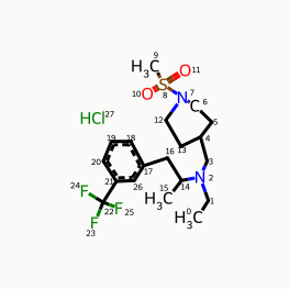 CCN(CC1CCN(S(C)(=O)=O)CC1)C(C)Cc1cccc(C(F)(F)F)c1.Cl